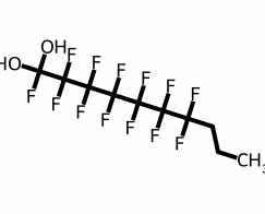 CCCC(F)(F)C(F)(F)C(F)(F)C(F)(F)C(F)(F)C(F)(F)C(O)(O)F